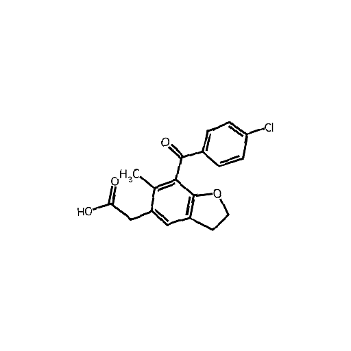 Cc1c(CC(=O)O)cc2c(c1C(=O)c1ccc(Cl)cc1)OCC2